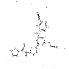 CCCc1cc(N2CCC(NC(=O)C3CCCC3)C2)nc(Nc2cccc(C#N)c2)n1